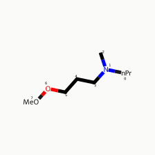 CCCN(C)CCCOOC